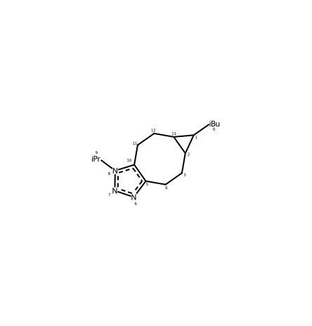 CCC(C)C1C2CCc3nnn(C(C)C)c3CCC21